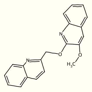 COc1cc2ccccc2nc1OCc1ccc2ccccc2n1